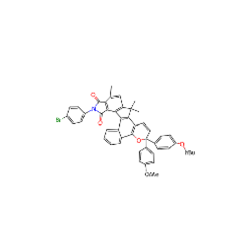 CCCCOc1ccc(C2(c3ccc(OC)cc3)C=Cc3c4c(c5ccccc5c3O2)-c2c(cc(C)c3c2C(=O)N(c2ccc(Br)cc2)C3=O)C4(C)C)cc1